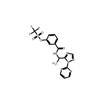 CC(NC(=O)c1cccc(OS(=O)(=O)C(F)(F)F)c1)c1ncnn1-c1ncccn1